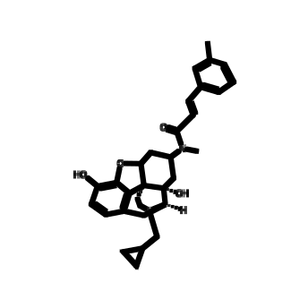 Cc1cccc(/C=C/C(=O)N(C)C2CC3Oc4c(O)ccc5c4[C@@]34CCN(CC3CC3)[C@H](C5)[C@]4(O)C2)c1